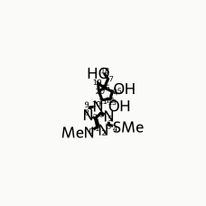 CNc1nc(SC)nc2c1ncn2C1C(O)C(O)C2(CO)CC12